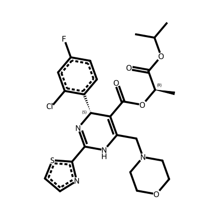 CC(C)OC(=O)[C@@H](C)OC(=O)C1=C(CN2CCOCC2)NC(c2nccs2)=N[C@@H]1c1ccc(F)cc1Cl